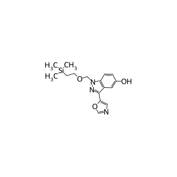 C[Si](C)(C)CCOCn1nc(-c2cnco2)c2cc(O)ccc21